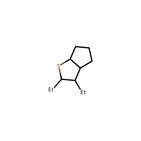 CCC1SC2CCCC2C1CC